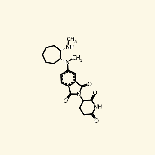 CN[C@H]1CCCCC[C@H]1N(C)c1ccc2c(c1)C(=O)N(C1CCC(=O)NC1=O)C2=O